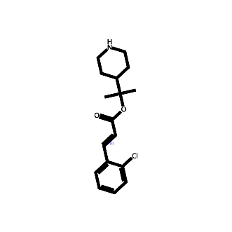 CC(C)(OC(=O)/C=C/c1ccccc1Cl)C1CCNCC1